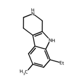 CCc1cc(C)cc2c3c([nH]c12)CNCC3